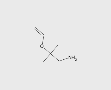 C=COC(C)(C)CN